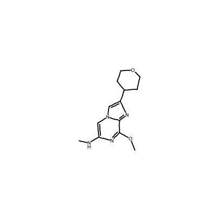 CNc1cn2cc(C3CCOCC3)nc2c(OC)n1